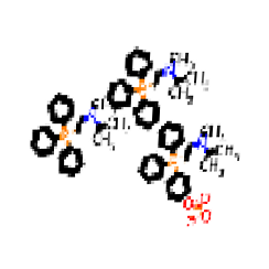 CC(C)N(C)CC[P+](c1ccccc1)(c1ccccc1)c1ccccc1.CC(C)N(C)CC[P+](c1ccccc1)(c1ccccc1)c1ccccc1.CC(C)N(C)CC[P+](c1ccccc1)(c1ccccc1)c1ccccc1.O=P([O-])([O-])[O-]